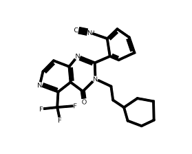 [C-]#[N+]c1ccccc1-c1nc2ccnc(C(F)(F)F)c2c(=O)n1CCC1CCCCC1